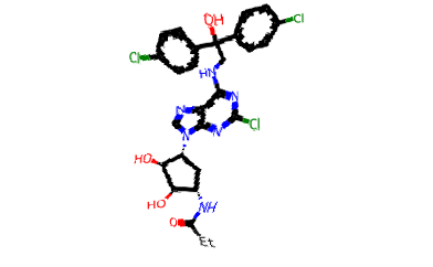 CCC(=O)N[C@H]1C[C@@H](n2cnc3c(NCC(O)(c4ccc(Cl)cc4)c4ccc(Cl)cc4)nc(Cl)nc32)[C@H](O)[C@@H]1O